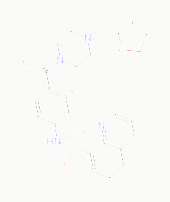 C[C@@H]1CN(C[C@@H]2CCCO2)CCN1C(=O)c1ccc(NS(=O)(=O)c2cccc3cccnc23)cc1